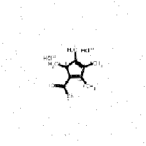 CC1=C(C)C(C)C([C](=O)[Co])=C1C.Cl.Cl